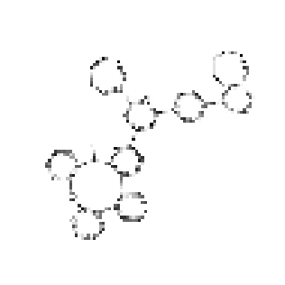 CC1c2ccccc2Oc2ccccc2-c2ccccc2-c2ccc(-c3cc(-c4ccc(-c5cccc6c5C=CCC=C6)cc4)nc(C4=CCC=CC=C4)n3)cc21